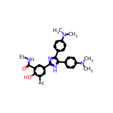 CCNC(=O)c1cc(-c2nc(-c3ccc(N(C)C)cc3)c(-c3ccc(N(C)C)cc3)[nH]2)cc(C(C)=O)c1O